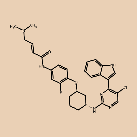 CN(C)C/C=C/C(=O)Nc1ccc(O[C@@H]2CCC[C@@H](Nc3ncc(Cl)c(-c4c[nH]c5ccccc45)n3)C2)c(F)c1